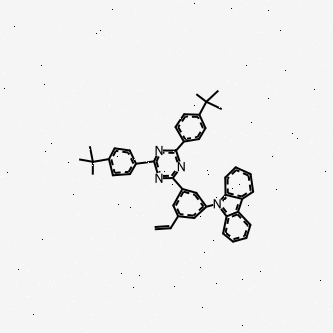 C=Cc1cc(-c2nc(-c3ccc(C(C)(C)C)cc3)nc(-c3ccc(C(C)(C)C)cc3)n2)cc(-n2c3ccccc3c3ccccc32)c1